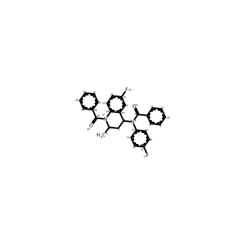 CC1CC(N(C(=O)c2ccccc2)c2ccc(F)cc2)c2cc(F)ccc2N1C(=O)c1ccccc1